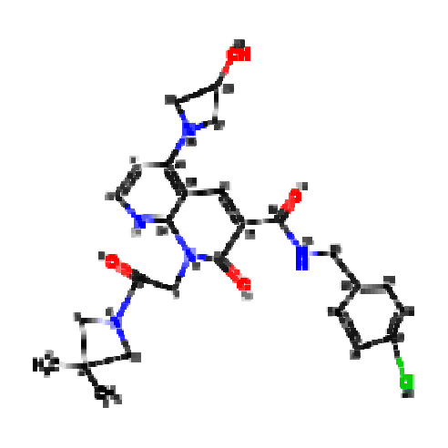 CC1(C)CN(C(=O)Cn2c(=O)c(C(=O)NCc3ccc(Cl)cc3)cc3c(N4CC(O)C4)ccnc32)C1